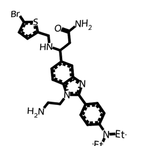 [CH2][CH]N([CH][CH2])c1ccc(-c2nc3cc(C(CC(N)=O)NCc4ccc(Br)s4)ccc3n2CCN)cc1